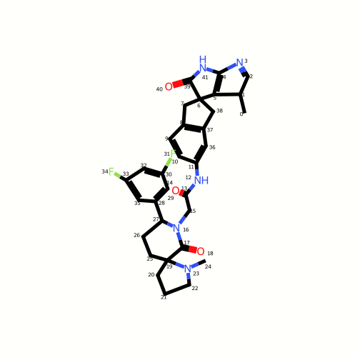 CC1C=NC2=C1C1(Cc3ccc(NC(=O)CN4C(=O)C5(CCCN5C)CCC4c4cc(F)cc(F)c4)cc3C1)C(=O)N2